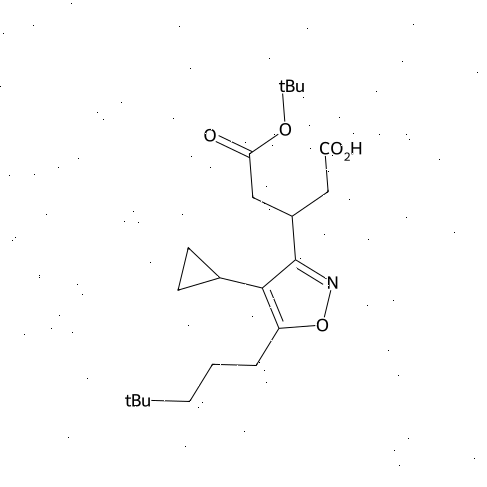 CC(C)(C)CCCc1onc(C(CC(=O)O)CC(=O)OC(C)(C)C)c1C1CC1